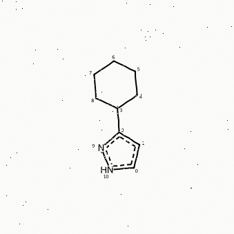 c1cc([C]2CCCCC2)n[nH]1